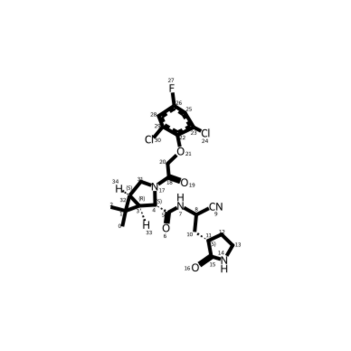 CC1(C)[C@@H]2[C@@H](C(=O)NC(C#N)C[C@@H]3CCNC3=O)N(C(=O)COc3c(Cl)cc(F)cc3Cl)C[C@@H]21